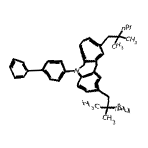 CCCCC(C)(C)Cc1ccc2c(c1)c1cc(CC(C)(C)CCC)ccc1n2-c1ccc(-c2ccccc2)cc1